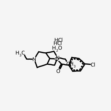 CCN1CC2CN(CC)CC(C1)C2OC(=O)c1ccc(Cl)cc1.Cl.Cl.O